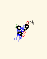 COc1ccc2cc(C(=O)Nc3ccnc(C(N)=O)c3)c(N3CCCC(F)(F)CC3)nc2c1